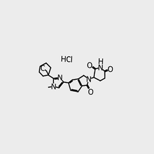 Cl.Cn1cc(-c2ccc3c(c2)CN(C2CCC(=O)NC2=O)C3=O)nc1C12CCC(CC1)CC2